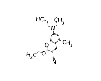 CCOC(=O)C(C#N)=Cc1ccc(N(CC)CCO)cc1C